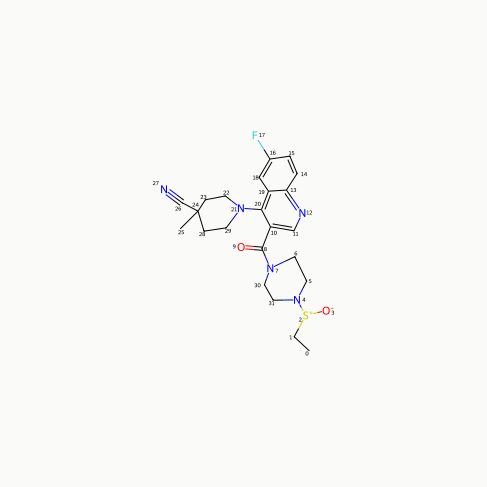 CC[S+]([O-])N1CCN(C(=O)c2cnc3ccc(F)cc3c2N2CCC(C)(C#N)CC2)CC1